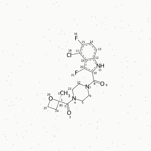 C[C@]1(C(=O)N2CCN(C(=O)c3[nH]c4ccc(F)c(Cl)c4c3F)CC2)CCO1